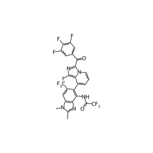 Cc1nc2c(NC(=O)C(F)(F)F)c(-c3cccn4c(C(=O)c5cc(F)c(F)c(F)c5)nc(I)c34)c(C(F)(F)F)cc2n1C